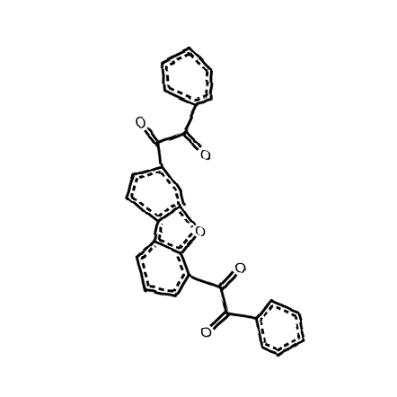 O=C(C(=O)c1ccc2c(c1)oc1c(C(=O)C(=O)c3ccccc3)cccc12)c1ccccc1